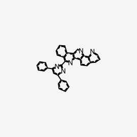 c1ccc(-c2cc(-c3ccccc3)nc(-c3nc4c(cnc5c4ccc4cccnc45)c4ccccc34)n2)cc1